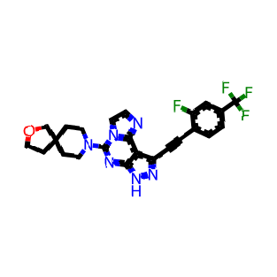 Fc1cc(C(F)(F)F)ccc1C#Cc1n[nH]c2nc(N3CCC4(CCOC4)CC3)n3ccnc3c12